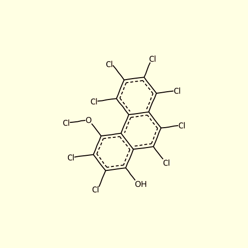 Oc1c(Cl)c(Cl)c(OCl)c2c1c(Cl)c(Cl)c1c(Cl)c(Cl)c(Cl)c(Cl)c12